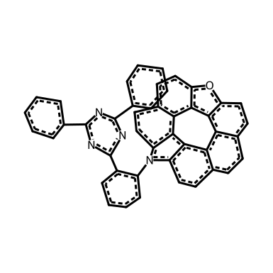 c1ccc(-c2nc(-c3ccccc3)nc(-c3ccccc3-n3c4ccc5ccc6ccc7oc8ccc9ccc3c3c9c8c7c6c5c34)n2)cc1